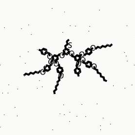 CCCCCCCCOc1ccc(COc2cc(COc3cc(CC(=S)CC)cc(OCc4cc(OCc5ccc(C)cc5)c(OCc5ccc(OCCCCCCCC)cc5)c(OCc5ccc(OCCCCCCCC)cc5)c4)c3)cc(OCc3ccc(C)cc3)c2OCc2ccc(OCCCCCCCC)cc2)cc1